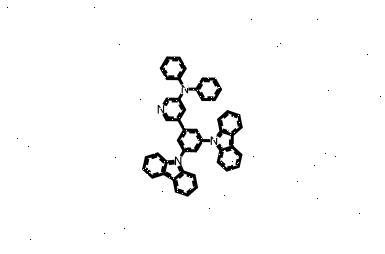 c1ccc(N(c2ccccc2)c2cncc(-c3cc(-n4c5ccccc5c5ccccc54)cc(-n4c5ccccc5c5ccccc54)c3)c2)cc1